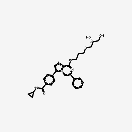 O=C(NC1CC1)c1ccc(-c2cnc3c(NCCCOC[C@H](O)CO)nc(-c4ccccc4)cn23)cc1